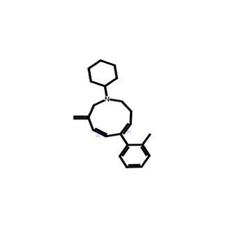 C=C1/C=C\C(c2ccccc2C)=C/CCN(C2CCCCC2)C1